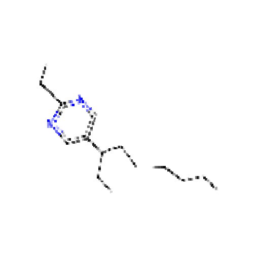 CCCCCCC(CC)c1cnc(CC)nc1